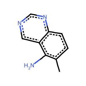 Cc1ccc2ncncc2c1N